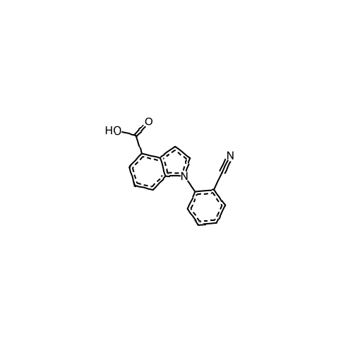 N#Cc1ccccc1-n1ccc2c(C(=O)O)cccc21